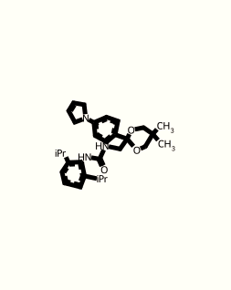 CC(C)c1cccc(C(C)C)c1NC(=O)NCC1(c2ccc(N3CC=CC3)cc2)OCC(C)(C)CO1